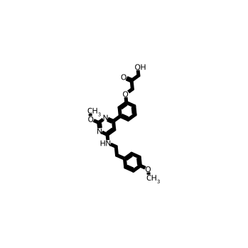 COc1ccc(CCNc2cc(-c3cccc(OCC(=O)CO)c3)nc(OC)n2)cc1